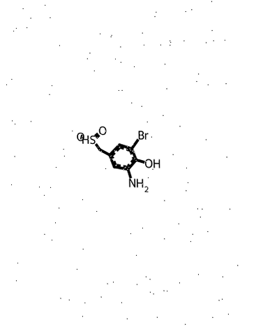 Nc1cc(C[SH](=O)=O)cc(Br)c1O